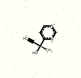 C#C[C@@](C)(O)c1ccncn1